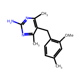 COc1cc(C)ccc1Cc1c(C)nc(N)nc1C